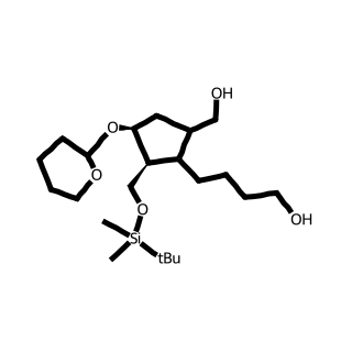 CC(C)(C)[Si](C)(C)OC[C@@H]1C(CCCCO)C(CO)C[C@@H]1OC1CCCCO1